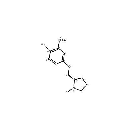 CC(=O)Nc1cc(OC[C@H]2CCCN2C)cnc1F